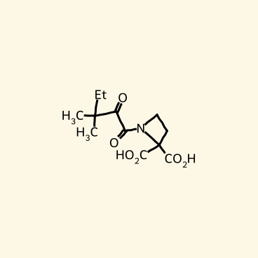 CCC(C)(C)C(=O)C(=O)N1CCC1(C(=O)O)C(=O)O